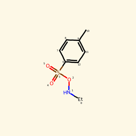 CCNOS(=O)(=O)c1ccc(C)cc1